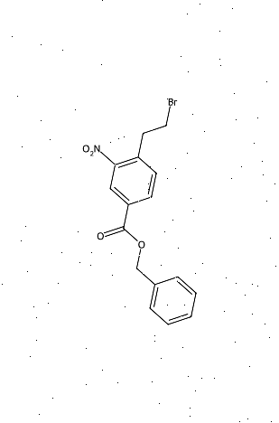 O=C(OCc1ccccc1)c1ccc(CCBr)c([N+](=O)[O-])c1